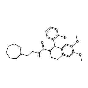 COc1cc2c(cc1OC)C(c1ccccc1Br)N(C(=O)NCCN1CCCCCC1)CC2